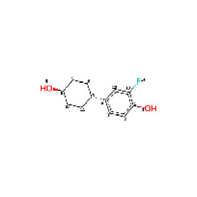 Oc1ccc([C@H]2CC[C@H](O)CC2)cc1F